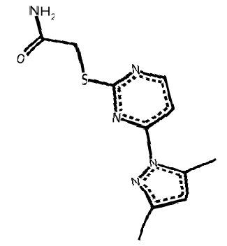 Cc1cc(C)n(-c2ccnc(SCC(N)=O)n2)n1